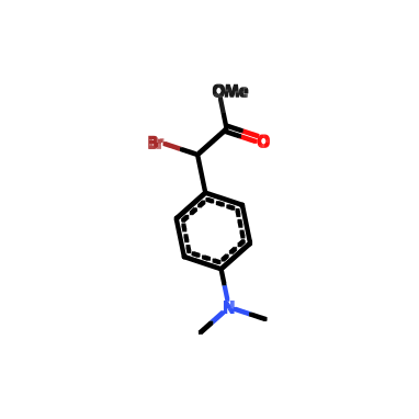 COC(=O)C(Br)c1ccc(N(C)C)cc1